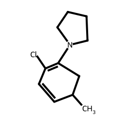 CC1C=CC(Cl)=C(N2CCCC2)C1